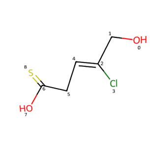 OCC(Cl)=CCC(O)=S